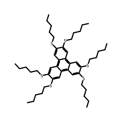 CCCCCSc1cc2c3cc(SCCCCC)c(SCCCCC)cc3c3cc(SCCCCC)c(SCCCCC)cc3c2cc1SCCCCC